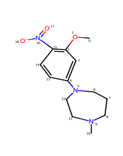 COc1cc(N2CCCN(C)CC2)ccc1[N+](=O)[O-]